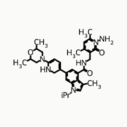 Cc1cc(C)n(N)c(=O)c1CNC(=O)c1cc(C2=CC=C(N3CC(C)OC(C)C3)NC2)cc2c1c(C)cn2C(C)C